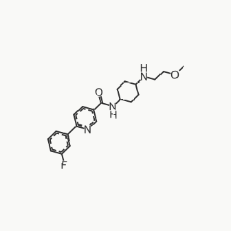 COCCNC1CCC(NC(=O)c2ccc(-c3cccc(F)c3)nc2)CC1